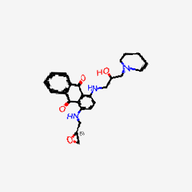 O=C1c2ccccc2C(=O)c2c(NC[C@H]3CO3)ccc(NCC(O)CN3CCCCC3)c21